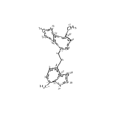 Cc1ccc(CCc2ncc(C)c3nonc23)c2nsnc12